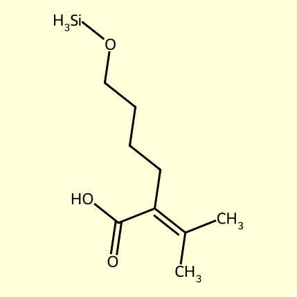 CC(C)=C(CCCCO[SiH3])C(=O)O